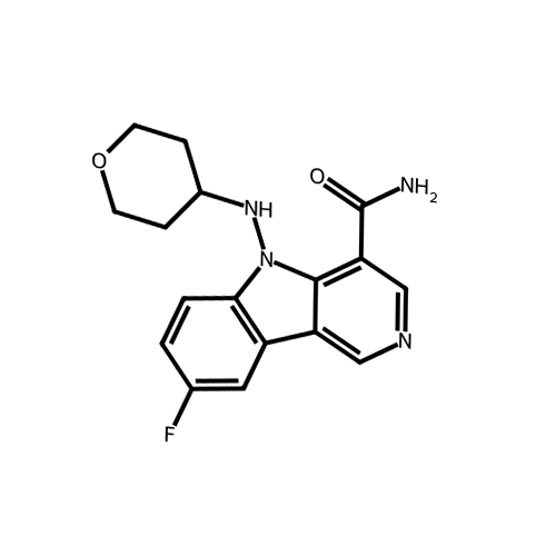 NC(=O)c1cncc2c3cc(F)ccc3n(NC3CCOCC3)c12